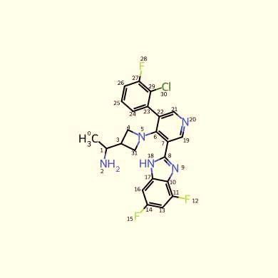 CC(N)C1CN(c2c(-c3nc4c(F)cc(F)cc4[nH]3)cncc2-c2cccc(F)c2Cl)C1